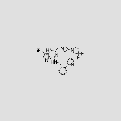 CC(C)c1cnn2c1N[C@@H](CN1CC(N3CCC(F)(F)C3)C1)N=C2NCc1ccccc1-n1cccn1